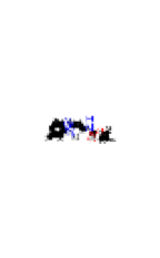 Cc1ccc2nc(CCNC(=O)OC(C)(C)C)n(C)c2c1